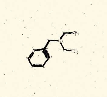 CCN(CC)Cc1c[c]ccn1